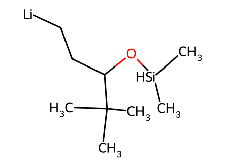 [Li][CH2]CC(O[SiH](C)C)C(C)(C)C